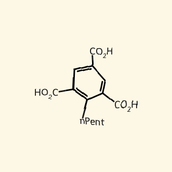 CCCCCc1c(C(=O)O)cc(C(=O)O)cc1C(=O)O